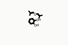 CC(C)=COC=C(C)C.Oc1ccccc1O